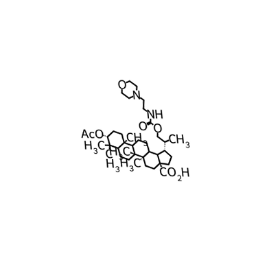 CC(=O)O[C@@H]1CC[C@@]2(C)C(CC[C@]3(C)C2CCC2C4[C@H](C(C)COC(=O)NCCN5CCOCC5)CC[C@]4(C(=O)O)CC[C@]23C)C1(C)C